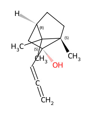 C=C=C[C@@]1(O)C[C@H]2CC[C@@]1(C)C2(C)C